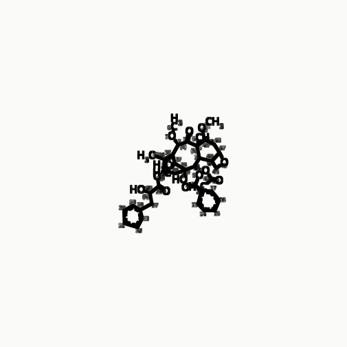 CO[C@H]1C(=O)[C@@]2(C)C([C@H](OC(=O)c3ccccc3)[C@]3(O)C[C@H](OC(=O)[C@H](O)Cc4ccccc4)C(C)=C1C3(C)C)[C@]1(OC(C)=O)COC1C[C@@H]2OC